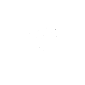 [O-][S+](c1cc(Br)[c]c(Br)c1CC(Br)(Br)Br)C(F)(F)C(F)(F)C(F)(F)F